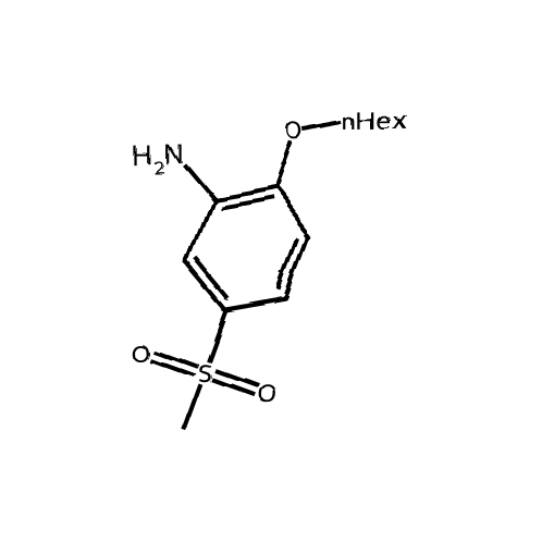 CCCCCCOc1ccc(S(C)(=O)=O)cc1N